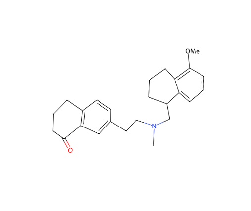 COc1cccc2c1CCCC2CN(C)CCc1ccc2c(c1)C(=O)CCC2